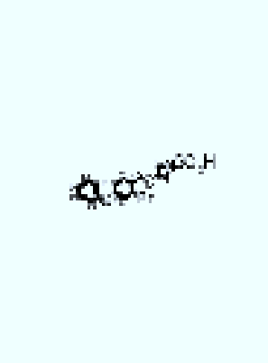 O=C(O)N1CC(OCc2ccc(Oc3ccccc3)cc2Br)C1